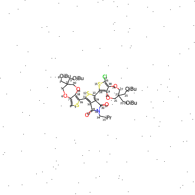 CC(C)COCC1(COCC(C)C)COc2csc(-c3sc(-c4sc(Cl)c5c4OCC(COCC(C)C)(COCC(C)C)CO5)c4c3C(=O)N(CC(C)C)C4=O)c2OC1